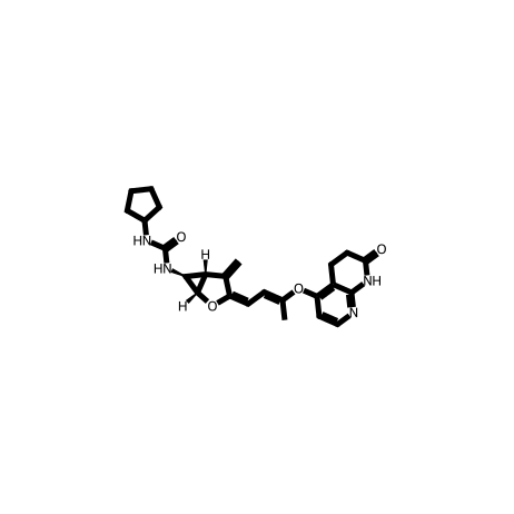 C=C1/C(=C\C=C(/C)Oc2ccnc3c2CCC(=O)N3)O[C@@H]2[C@@H](NC(=O)NC3CCCC3)[C@H]12